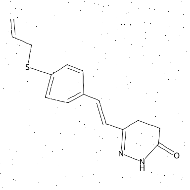 C=CCSc1ccc(C=CC2=NNC(=O)CC2)cc1